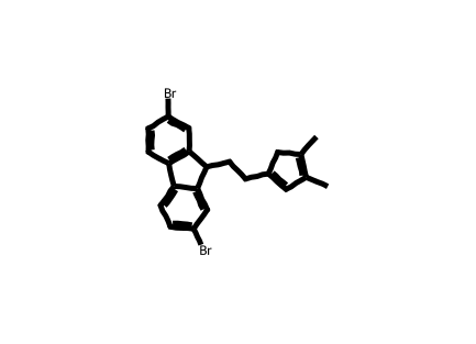 CC1=C(C)CC(CCC2c3cc(Br)ccc3-c3ccc(Br)cc32)=C1